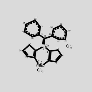 CCCCC1=[C]([Ti+2]([C]2=C(CCCC)C=CC2)=[C](c2ccccc2)c2ccccc2)CC=C1.[Cl-].[Cl-]